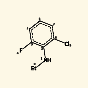 CCNc1c(F)cccc1Cl